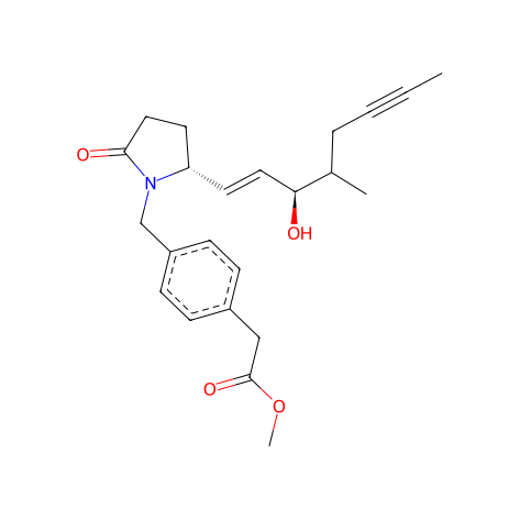 CC#CCC(C)[C@@H](O)/C=C/[C@H]1CCC(=O)N1Cc1ccc(CC(=O)OC)cc1